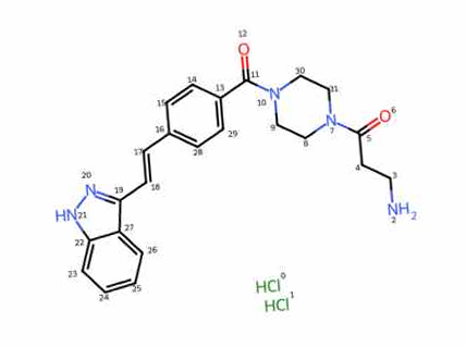 Cl.Cl.NCCC(=O)N1CCN(C(=O)c2ccc(C=Cc3n[nH]c4ccccc34)cc2)CC1